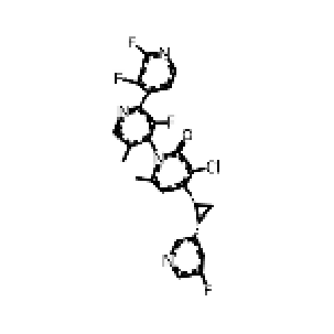 Cc1cnc(-c2ccnc(F)c2F)c(F)c1-n1c(C)cc([C@H]2C[C@@H]2c2cncc(F)c2)c(Cl)c1=O